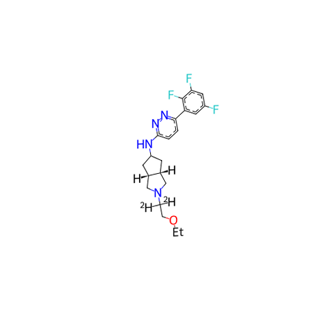 [2H]C([2H])(COCC)N1C[C@H]2CC(Nc3ccc(-c4cc(F)cc(F)c4F)nn3)C[C@H]2C1